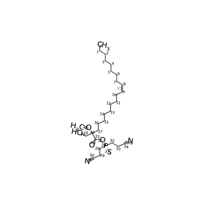 CCCCCCCC/C=C\CCCCCCCCC(CO)(OC)C(=O)OP(=S)(CCC#N)CCC#N